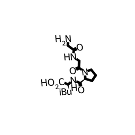 CC[C@H](C)C(NC(=O)[C@@H]1CCCN1C(=O)CNC(=O)CN)C(=O)O